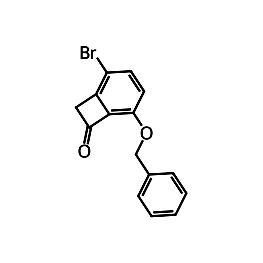 O=C1Cc2c(Br)ccc(OCc3ccccc3)c21